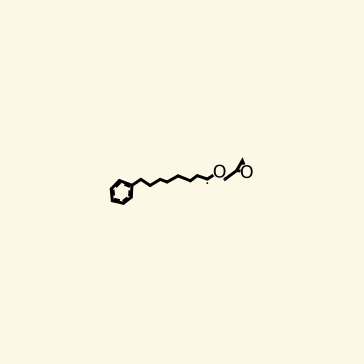 [CH](CCCCCCCc1ccccc1)OCC1CO1